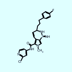 Cn1cc2c(c1C(=O)Nc1ccnc(Cl)c1)C=CC(CCCc1ccc(F)cc1)NS2=N